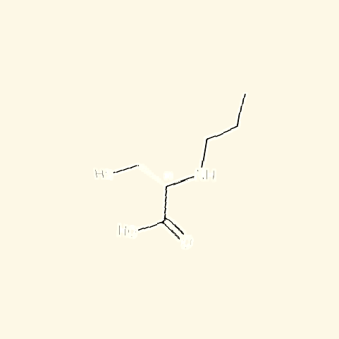 CCCN[C@@H](CS)C(=O)O